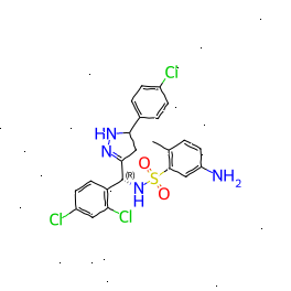 Cc1ccc(N)cc1S(=O)(=O)N[C@@H](C1=NNC(c2ccc(Cl)cc2)C1)c1ccc(Cl)cc1Cl